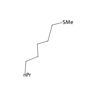 CCCCCCCCSC